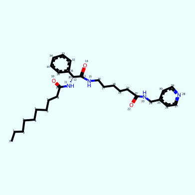 CCCCCCCCCC(=O)N[C@@H](C(=O)NCCCCCC(=O)NCc1ccncc1)c1ccccc1